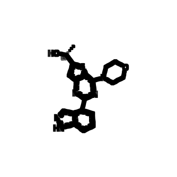 C[C@@H](O)c1cc2nc(-c3cccc4[nH]ncc34)nc(N3CCOCC3)c2s1